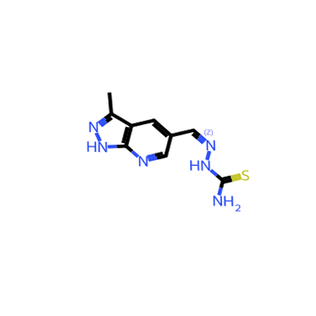 Cc1n[nH]c2ncc(/C=N\NC(N)=S)cc12